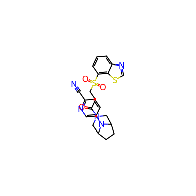 N#Cc1ccc(N2C3CCC2CN(C(=O)CCS(=O)(=O)c2cccc4ncsc24)C3)cn1